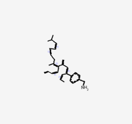 C=C/C=C\C(C(=C)/C=C(\C=C/C)c1ccc(CN)cc1)=C(/C)C/C=C\C=C/C(C)C